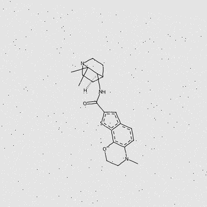 CN1CCOc2c1ccc1cc(C(=O)N[C@@H]3C4CCN(CC4)C3(C)C)sc21